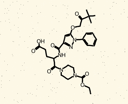 CCOC(=O)N1CCN(C(=O)C(CCC(=O)O)NC(=O)c2cc(OCC(=O)C(C)(C)C)n(-c3ccccc3)n2)CC1